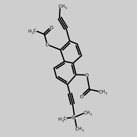 CC#Cc1ccc2c(OC(C)=O)c(C#C[Si](C)(C)C)ccc2c1OC(C)=O